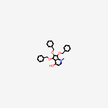 Cn1ccc(O)c2c(OCc3ccccc3)c(OCc3ccccc3)c(OCc3ccccc3)c1-2